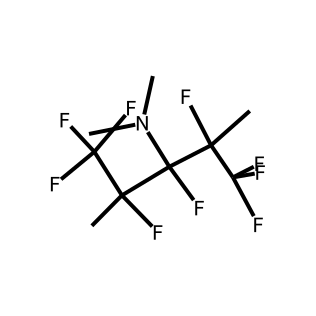 CN(C)C(F)(C(C)(F)C(F)(F)F)C(C)(F)C(F)(F)F